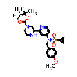 COc1ccc(CN(c2ccnc(C3CN(C(=O)OC(C)(C)C)CCN3)c2)S(=O)(=O)C2CC2)cc1